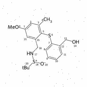 COc1cc(C)c(Sc2ccccc2CO)c(CN[S+]([O-])C(C)(C)C)c1